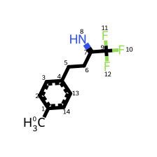 Cc1ccc(CCC(=N)C(F)(F)F)cc1